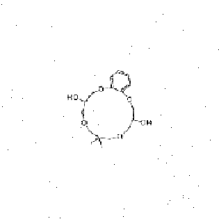 CC1(C)COCC(O)COc2ccccc2OCC(O)COC1